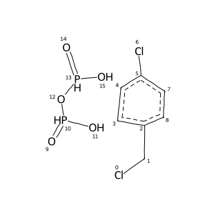 ClCc1ccc(Cl)cc1.O=[PH](O)O[PH](=O)O